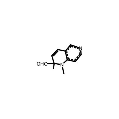 CN1c2ccncc2C=CC1(C)C=O